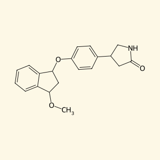 COC1CC(Oc2ccc(C3CNC(=O)C3)cc2)c2ccccc21